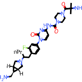 CCCC(Cc1ccc(-n2ccc(NC(=O)N3CCN(C(=O)C(C)(C)N)CC3)nc2=O)cc1F)N1C[C@@H]2[C@@H](CN)[C@@H]2C1